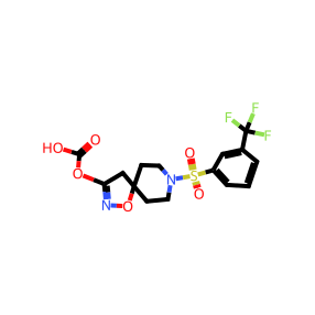 O=C(O)OC1=NOC2(CCN(S(=O)(=O)c3cccc(C(F)(F)F)c3)CC2)C1